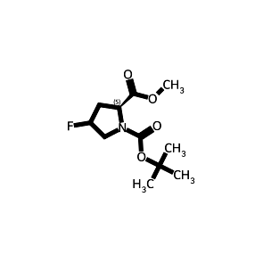 COC(=O)[C@@H]1CC(F)CN1C(=O)OC(C)(C)C